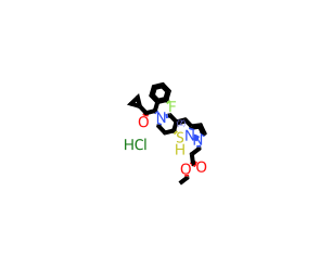 CCOC(=O)CCn1ccc(/C=C2/CN(C(C(=O)C3CC3)c3ccccc3F)CCC2S)n1.Cl